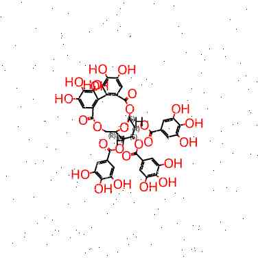 O=C(O[C@@H]1[C@@H](OC(=O)c2cc(O)c(O)c(O)c2)[C@@H]2OC(=O)c3cc(O)c(O)c(O)c3-c3c(cc(O)c(O)c3O)C(=O)OC[C@@H](O2)[C@H]1OC(=O)c1cc(O)c(O)c(O)c1)c1cc(O)c(O)c(O)c1